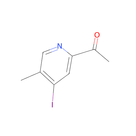 CC(=O)c1cc(I)c(C)cn1